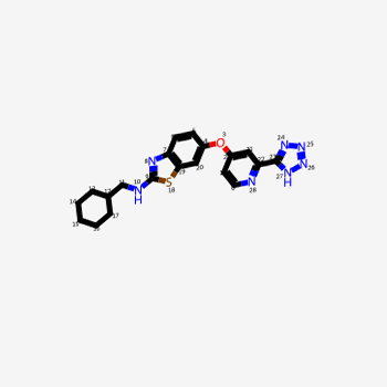 c1cc(Oc2ccc3nc(NCC4CCCCC4)sc3c2)cc(-c2nnn[nH]2)n1